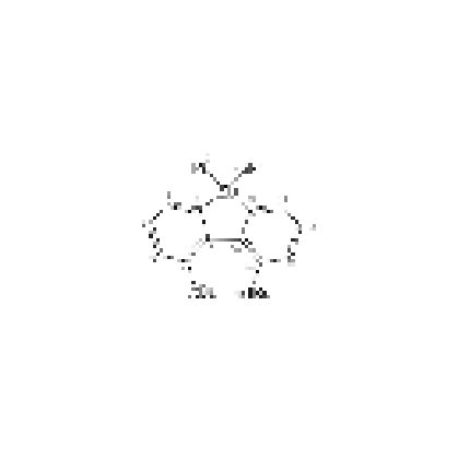 CC(C)[Si]1(C(C)C)c2cccc(C(C)(C)C)c2-c2c(C(C)(C)C)cccc21